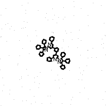 c1ccc(C2=NN(c3cc(-c4cccc(-c5cc(-c6ccccc6)nc(-n6nc(-c7ccccc7)c(-c7ccccc7)c6-c6ccccc6)c5)c4)cc(-c4ccccc4)n3)C(c3ccccc3)C2c2ccccc2)cc1